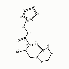 N#CC(C[C@@H]1CCCNC1=O)NC(=O)OCc1ccccc1